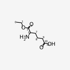 CCOC(=O)C(N)CCCC(=O)O